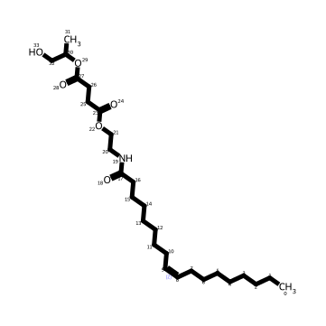 CCCCCCCC/C=C\CCCCCCCC(=O)NCCOC(=O)CCC(=O)OC(C)CO